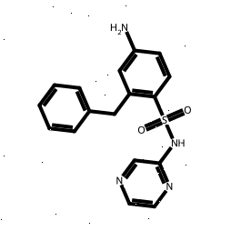 Nc1ccc(S(=O)(=O)Nc2cnccn2)c(Cc2ccccc2)c1